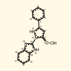 Cl.O=c1cc(-c2ccccc2)[nH]n1-c1nc2ccccc2[nH]1